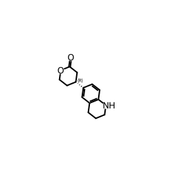 O=C1C[C@H](c2ccc3c(c2)CCCN3)CCO1